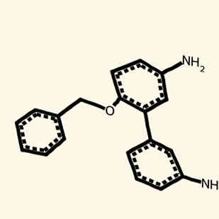 Nc1cccc(-c2cc(N)ccc2OCc2ccccc2)c1